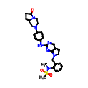 CN(c1ccccc1Cn1ccc2cnc(Nc3ccc(N4CCN5C(=O)CC=C5C4)cc3)nc21)S(C)(=O)=O